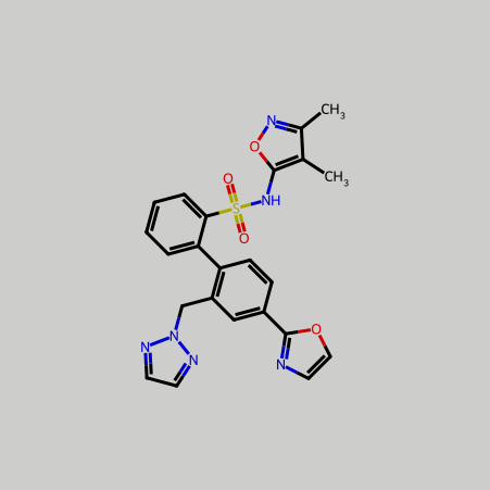 Cc1noc(NS(=O)(=O)c2ccccc2-c2ccc(-c3ncco3)cc2Cn2nccn2)c1C